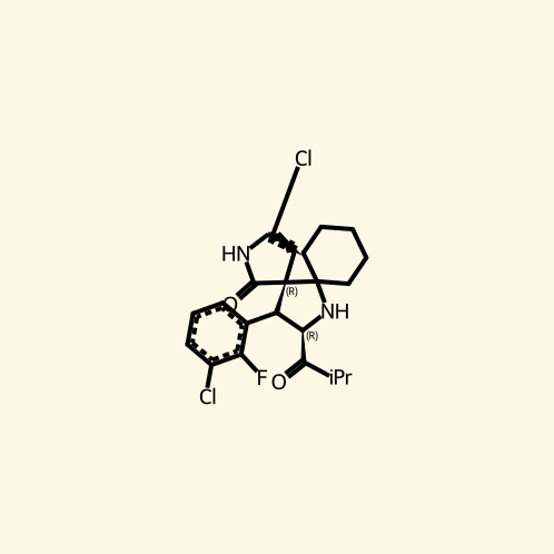 CC(C)C(=O)[C@@H]1NC2(CCCCC2)[C@@]2(C(=O)Nc3cc(Cl)ccc32)C1c1cccc(Cl)c1F